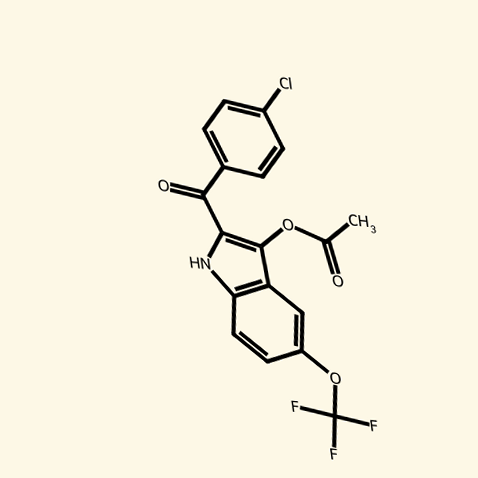 CC(=O)Oc1c(C(=O)c2ccc(Cl)cc2)[nH]c2ccc(OC(F)(F)F)cc12